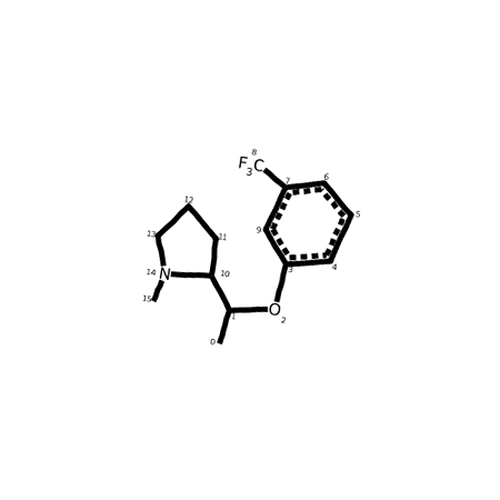 CC(Oc1cccc(C(F)(F)F)c1)C1CCCN1C